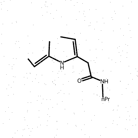 C/C=C(/CC(=O)NCCC)N/C(C)=C/C